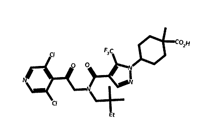 CCC(C)(C)CN(CC(=O)c1c(Cl)cncc1Cl)C(=O)c1cnn(C2CCC(C)(C(=O)O)CC2)c1C(F)(F)F